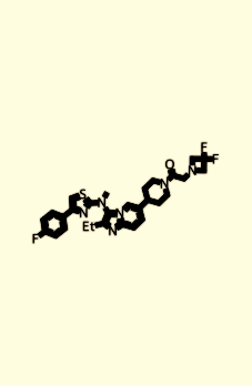 CCc1nc2ccc(C3CCN(C(=O)CN4CC(F)(F)C4)CC3)cn2c1N(C)c1nc(-c2ccc(F)cc2)cs1